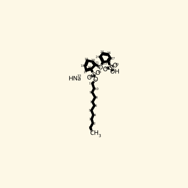 CCCCCCCCCCCCOS(=O)(=O)c1ccccc1Oc1ccccc1S(=O)(=O)O.[NaH]